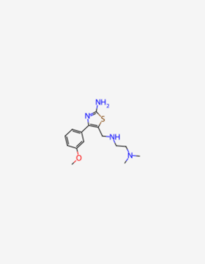 COc1cccc(-c2nc(N)sc2CNCCN(C)C)c1